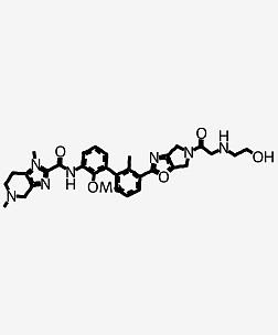 COc1c(NC(=O)c2nc3c(n2C)CCN(C)C3)cccc1-c1cccc(-c2nc3c(o2)CN(C(=O)CNCCO)C3)c1C